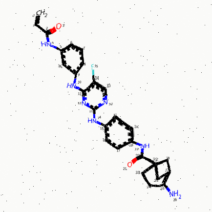 C=CC(=O)Nc1cccc(Nc2nc(Nc3ccc(NC(=O)C45CCC(N)=C(C4)C5)cc3)ncc2F)c1